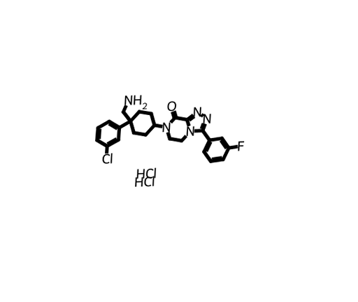 Cl.Cl.NCC1(c2cccc(Cl)c2)CCC(N2CCn3c(nnc3-c3cccc(F)c3)C2=O)CC1